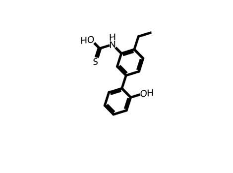 CCc1ccc(-c2ccccc2O)cc1NC(O)=S